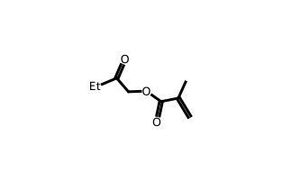 C=C(C)C(=O)OCC(=O)CC